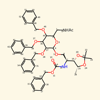 CC(=O)NCC1OC(OC[C@H](NC(=O)OCc2ccccc2)[C@@H]2OC(C)(C)O[C@@H]2C)C(OCc2ccccc2)C(OCc2ccccc2)C1OCc1ccccc1